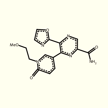 COCCn1cc(-c2nc(C(N)=O)cnc2-c2ncco2)ccc1=O